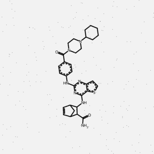 NC(=O)C1C2C=CC(C2)C1Nc1nc(Nc2ccc(C(=O)N3CCN(C4CCCCC4)CC3)cc2)nc2ccsc12